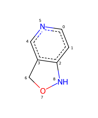 c1cc2c(cn1)CON2